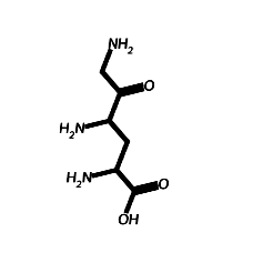 NCC(=O)C(N)CC(N)C(=O)O